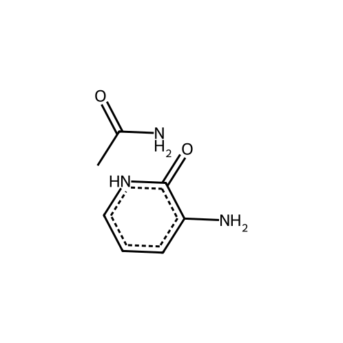 CC(N)=O.Nc1ccc[nH]c1=O